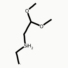 [CH2]C[SiH2]CC(OC)OC